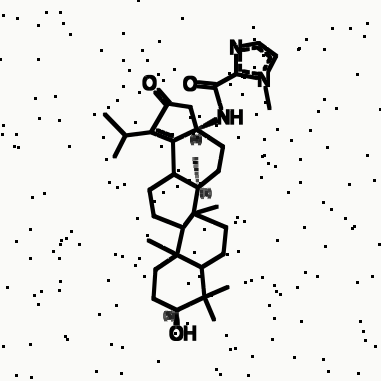 CC(C)C1=C2C3CCC4C5(C)CC[C@H](O)C(C)(C)C5CCC4(C)[C@]3(C)CC[C@@]2(NC(=O)c2nccn2C)CC1=O